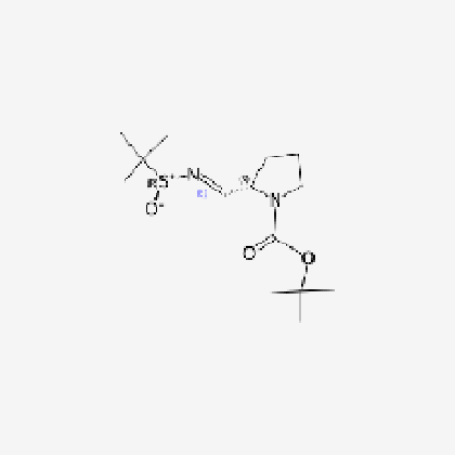 CC(C)(C)OC(=O)N1CCC[C@H]1/C=N/[S@@+]([O-])C(C)(C)C